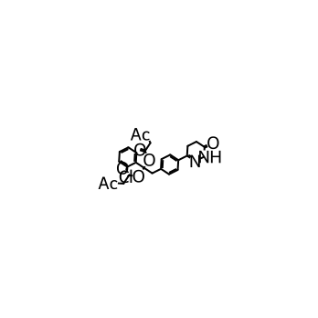 CC(=O)CC(=O)OC(Cc1ccc(C2=NNC(=O)CC2)cc1)(OC(=O)CC(C)=O)c1ccccc1Cl